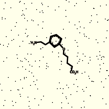 NCCc1cccc(OCCCCC(=O)O)c1